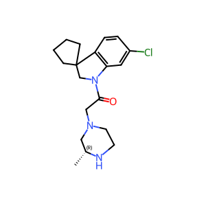 C[C@@H]1CN(CC(=O)N2CC3(CCCC3)c3ccc(Cl)cc32)CCN1